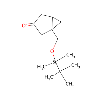 CC(C)(C)[Si](C)(C)OCC12CC(=O)CC1C2